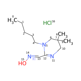 CCCCCN1CC(C)(C)CN=C1/C=N/O.Cl